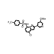 COc1cncc(-c2cc3c(Cl)ccc(NS(=O)(=O)c4ccc(C(F)(F)F)cc4)n3n2)c1